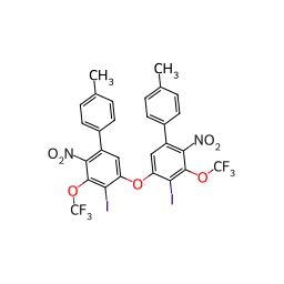 Cc1ccc(-c2cc(Oc3cc(-c4ccc(C)cc4)c([N+](=O)[O-])c(OC(F)(F)F)c3I)c(I)c(OC(F)(F)F)c2[N+](=O)[O-])cc1